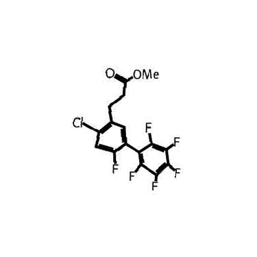 COC(=O)CCc1cc(-c2c(F)c(F)c(F)c(F)c2F)c(F)cc1Cl